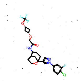 O=C(CO[C@H]1C[C@@H](OC(F)(F)F)C1)NC1CCC2(c3cnn(-c4ccc(Cl)c(F)c4)c3)CC1CCO2